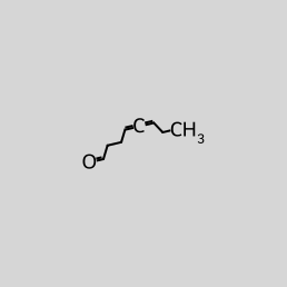 CCC=C=CCCC=O